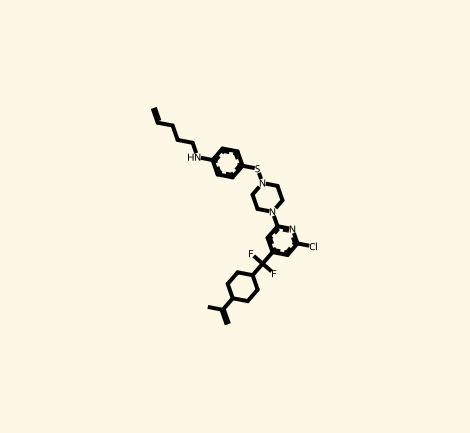 C=CCCCNc1ccc(SN2CCN(c3cc(C(F)(F)C4CCC(C(=C)C)CC4)cc(Cl)n3)CC2)cc1